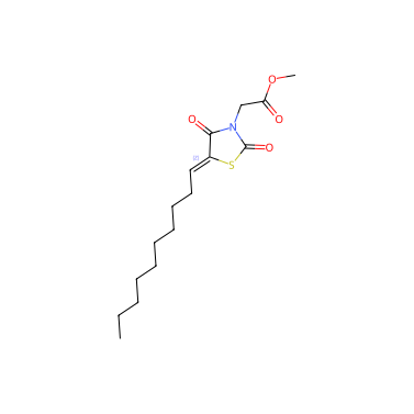 CCCCCCCCC/C=C1\SC(=O)N(CC(=O)OC)C1=O